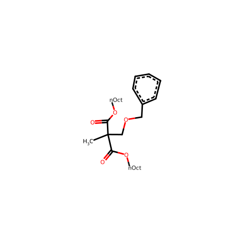 CCCCCCCCOC(=O)C(C)(COCc1ccccc1)C(=O)OCCCCCCCC